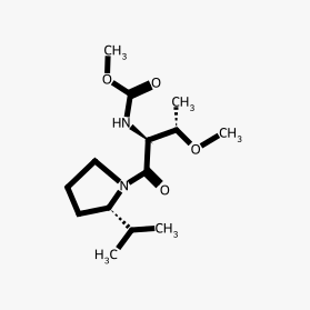 COC(=O)N[C@H](C(=O)N1CCC[C@H]1C(C)C)[C@H](C)OC